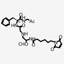 CC(=O)CNC(=O)[C@H](Cc1ccccc1)NC(=O)CNCC(C=O)NC(=O)CCCCCN1C(=O)C=CC1=O